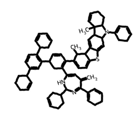 C=C1C=C(C2=C(C3=CC=C4SC5=CC6C(C=C5C4C3C)C3(C)C=CCCC3N6C3=CC=CCC3)C=CC(c3cc(C4C=CCCC4)ccc3C3C=CC=CC3)C2)NC(C2CC=CCC2)N=C1C1=CCCC=C1